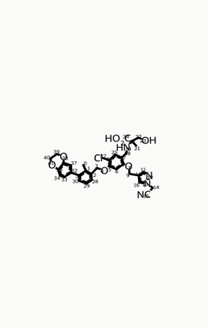 Cc1c(COc2cc(OCc3cnn(CC#N)c3)c(CN[C@@](C)(CO)C(=O)O)cc2Cl)cccc1-c1ccc2c(c1)OCCO2